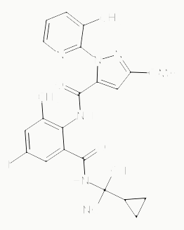 COc1cc(C(=O)Nc2c(C)cc(I)cc2C(=O)NC(C)(C#N)C2CC2)n(-c2ncccc2C)n1